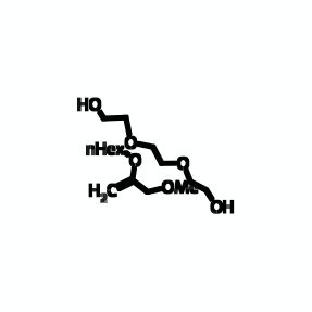 C=C(COC)OCCCCCC.OCCOCCOCCO